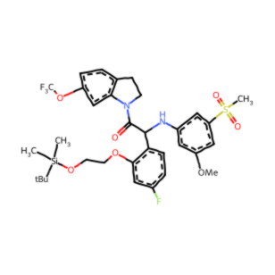 COc1cc(NC(C(=O)N2CCc3ccc(OC(F)(F)F)cc32)c2ccc(F)cc2OCCO[Si](C)(C)C(C)(C)C)cc(S(C)(=O)=O)c1